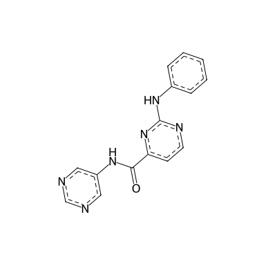 O=C(Nc1cncnc1)c1ccnc(Nc2ccccc2)n1